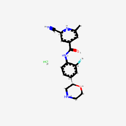 Cc1cc(C(=O)Nc2ccc([C@H]3CNCCO3)cc2F)cc(C#N)n1.Cl